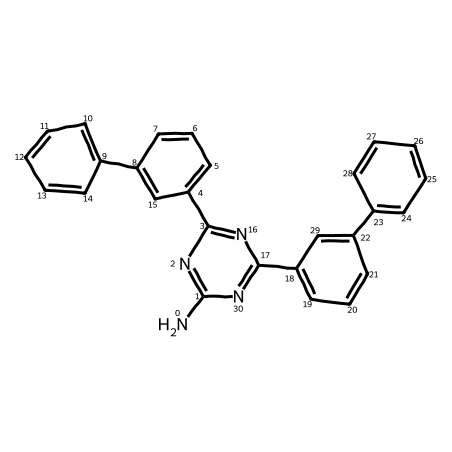 Nc1nc(-c2cccc(-c3ccccc3)c2)nc(-c2cccc(-c3ccccc3)c2)n1